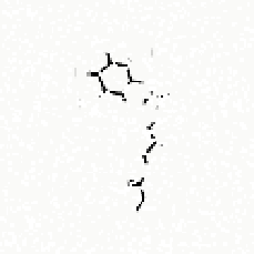 CCC(=O)OCC(O)COP(C)(=O)OC1C(O)C(O)C(O)C(O)C1O